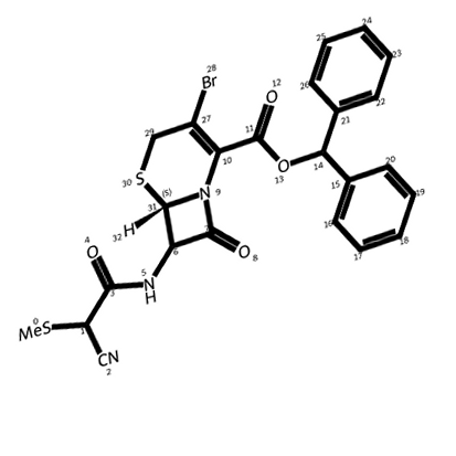 CSC(C#N)C(=O)NC1C(=O)N2C(C(=O)OC(c3ccccc3)c3ccccc3)=C(Br)CS[C@@H]12